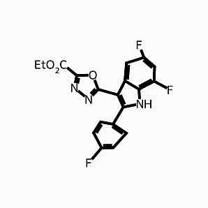 CCOC(=O)c1nnc(-c2c(-c3ccc(F)cc3)[nH]c3c(F)cc(F)cc23)o1